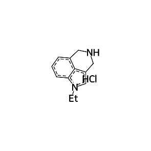 CCn1cc2c3c(cccc31)CNC2.Cl